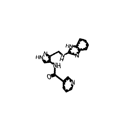 O=C(Nc1c[nH]nc1CNc1nc2ccccc2[nH]1)c1cccnc1